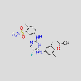 Cc1ccc(Nc2ncc(F)c(Nc3cc(C)c(OC(C)C#N)c(C)c3)n2)cc1S(N)(=O)=O